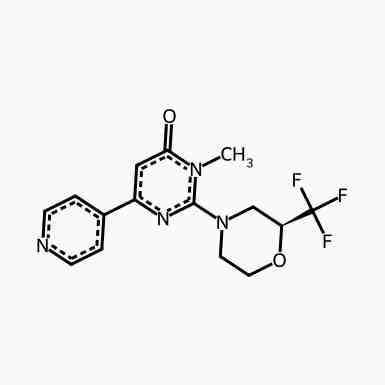 Cn1c(N2CCO[C@H](C(F)(F)F)C2)nc(-c2ccncc2)cc1=O